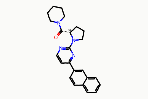 O=C([C@@H]1CCCN1c1nccc(-c2ccc3ccccc3c2)n1)N1CCCCC1